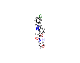 Cc1c(C(=O)NCC2CCOCC2)oc2c1-c1nn(Cc3ccc(Cl)cc3)cc1CC2